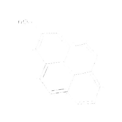 CCCCCCCCc1cc2ccc3[c]ccc4ccc(c1)c2c34